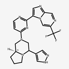 FC(F)(F)c1cn2c(-c3nccc(N4CC(c5cn[nH]c5)N5CCC[C@H]5C4)n3)cnc2cn1